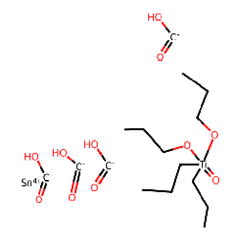 CCC[O][Ti](=[O])([CH2]CC)([CH2]CC)[O]CCC.O=[C-]O.O=[C-]O.O=[C-]O.O=[C-]O.[Sn+4]